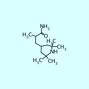 CC(CC1CC(C)(C)NC(C)(C)C1)C(N)=O